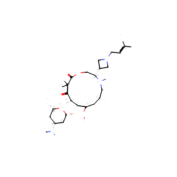 CO[C@]1(C)C[C@@H](C)CN(C)[C@H](C2CN(CC=C(C)C)C2)COC(=O)C(C)(C)C(=O)[C@H](C)[C@H]1O[C@@H]1O[C@H](C)C[C@H](N(C)C)[C@H]1O